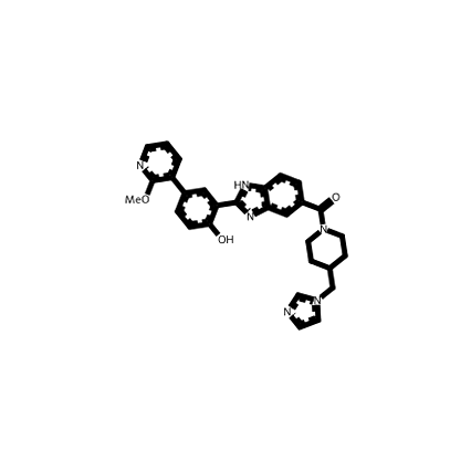 COc1ncccc1-c1ccc(O)c(-c2nc3cc(C(=O)N4CCC(Cn5ccnc5)CC4)ccc3[nH]2)c1